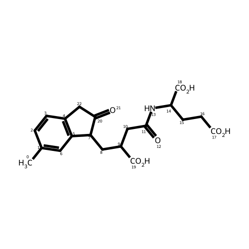 Cc1ccc2c(c1)C(CC(CC(=O)NC(CCC(=O)O)C(=O)O)C(=O)O)C(=O)C2